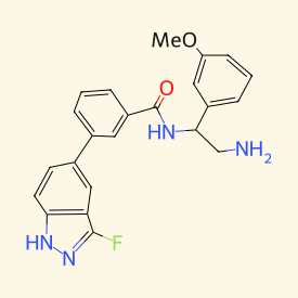 COc1cccc(C(CN)NC(=O)c2cccc(-c3ccc4[nH]nc(F)c4c3)c2)c1